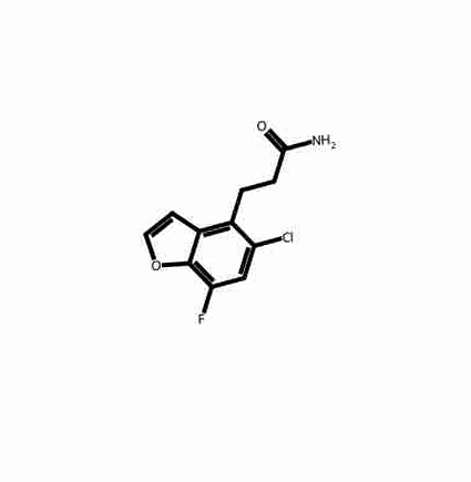 NC(=O)CCc1c(Cl)cc(F)c2occc12